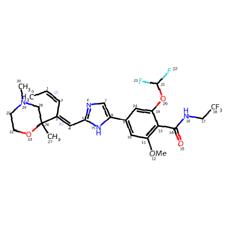 C/C=C\C(=C/c1ncc(-c2cc(OC)c(C(=O)NCC(F)(F)F)c(OC(F)F)c2)[nH]1)C1(C)CN(C)CCO1